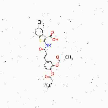 CCC(=O)Oc1ccc(C=CC(=O)Nc2sc3c(c2C(=O)O)CC(C)CC3)cc1OC(=O)CC